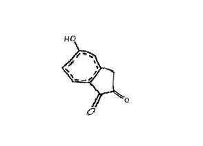 O=C1Cc2cc(O)ccc2C1=O